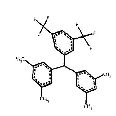 Cc1cc(C)cc(C(c2cc(C)cc(C)c2)c2cc(C(F)(F)F)cc(C(F)(F)F)c2)c1